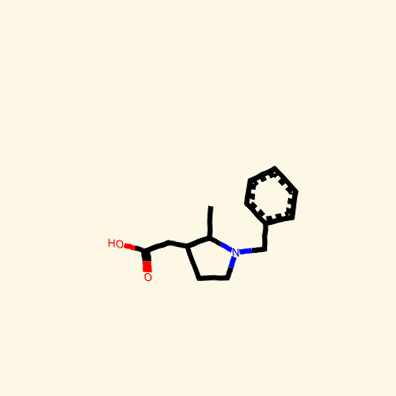 CC1C(CC(=O)O)CCN1Cc1ccccc1